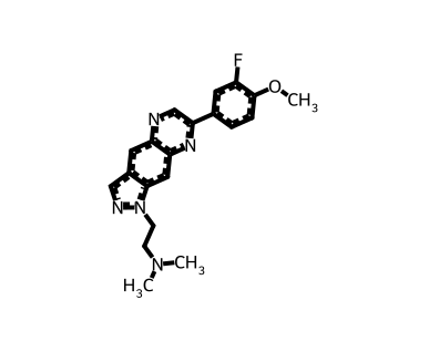 COc1ccc(-c2cnc3cc4cnn(CCN(C)C)c4cc3n2)cc1F